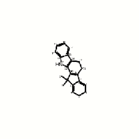 CC1(C)C2=CCCC=C2C2=C1c1[nH]c3ccccc3c1CC2